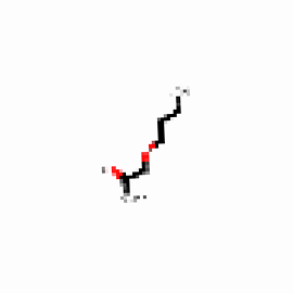 COC(=O)COCCCC#N